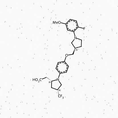 COc1ccc(F)c(N2CC[C@@H](COc3ccc(N4C[C@H](C(F)(F)F)C[C@@H]4CC(=O)O)cc3)C2)c1